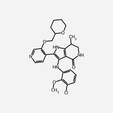 COc1c(Cl)cccc1Nc1c(-c2ccncc2OCC2CCCCO2)[nH]c2c1C(=O)NCC2C